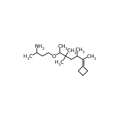 CC(=C1CCC1)C(C)CC(C)(C)C(C)OCCC(C)N